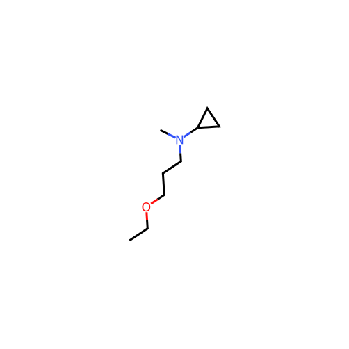 CCOCCCN(C)C1CC1